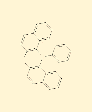 Cc1ccc2ccccc2c1B(c1ccccc1)c1c(C)ccc2ccccc12